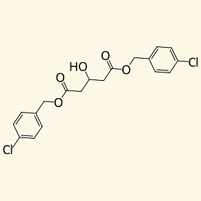 O=C(CC(O)CC(=O)OCc1ccc(Cl)cc1)OCc1ccc(Cl)cc1